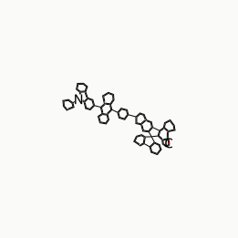 c1ccc(-n2c3ccccc3c3cc(-c4c5ccccc5c(-c5ccc(-c6ccc7cc8c(cc7c6)C6(c7ccccc7-c7ccccc76)c6c-8c7ccccc7c7ccccc67)cc5)c5ccccc45)ccc32)cc1